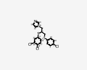 Clc1ccc(SCC(Cn2ccnc2)Sc2ccc(Cl)c(Cl)c2)cc1